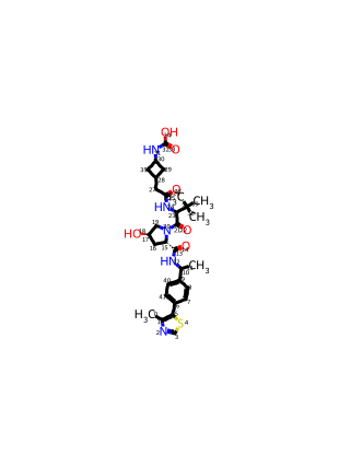 Cc1ncsc1-c1ccc(C(C)NC(=O)[C@@H]2C[C@@H](O)CN2C(=O)C(NC(=O)CC2CC(NC(=O)O)C2)C(C)(C)C)cc1